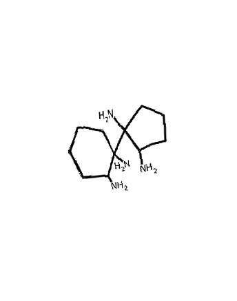 NC1CCCCC1(N)C1(N)CCCC1N